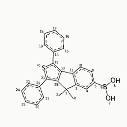 CC1(C)c2cc(B(O)O)ccc2-c2c(-c3ccccc3)sc(-c3ccccc3)c21